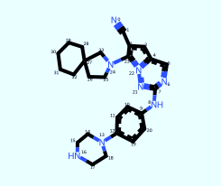 N#Cc1cc2cnc(Nc3ccc(N4CCNCC4)cc3)nn2c1N1CCC2(CCCCC2)C1